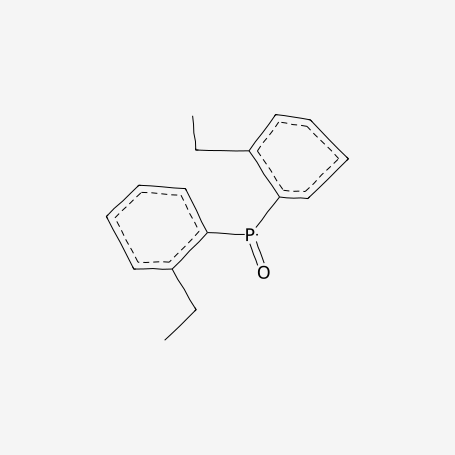 CCc1ccccc1[P](=O)c1ccccc1CC